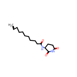 C=CCCCCCCCCC(=O)N[C@H]1CCC(=O)NC1=O